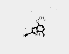 COc1ccc(F)c2[nH]c(C#N)cc12